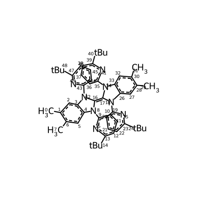 Cc1cc2c(cc1C)N(c1cccc(C(C)(C)C)n1)C(=C1N(c3cccc(C(C)(C)C)n3)c3cc(C)c(C)cc3N1c1cccc(C(C)(C)C)n1)N2c1cccc(C(C)(C)C)n1